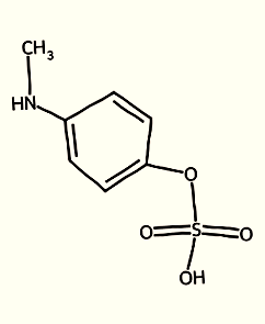 CNc1ccc(OS(=O)(=O)O)cc1